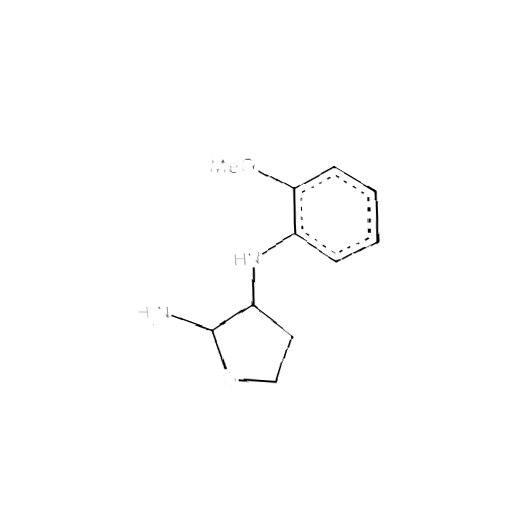 COc1ccccc1NC1CCO[C]1N